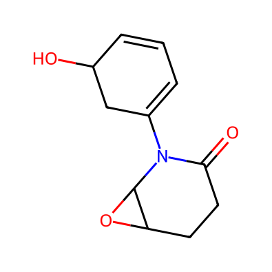 O=C1CCC2OC2N1C1=CC=CC(O)C1